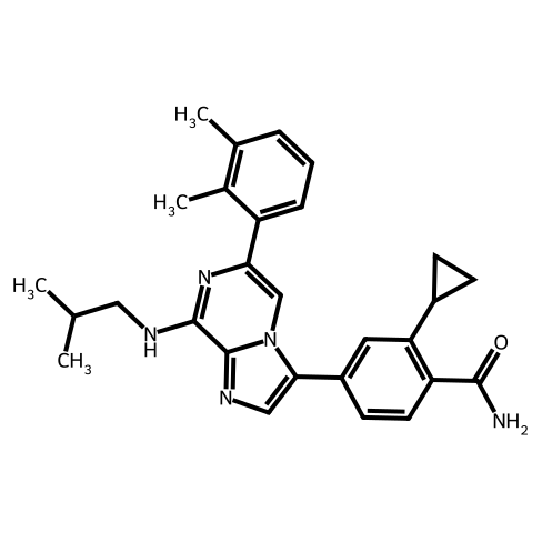 Cc1cccc(-c2cn3c(-c4ccc(C(N)=O)c(C5CC5)c4)cnc3c(NCC(C)C)n2)c1C